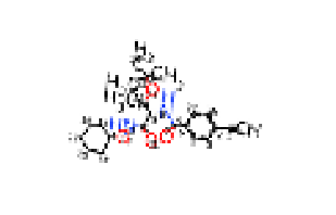 C#Cc1ccc(C(=O)N[C@H](C(=O)NOC2CCCCC2)[C@@H](C)OC(C)(C)C)cc1